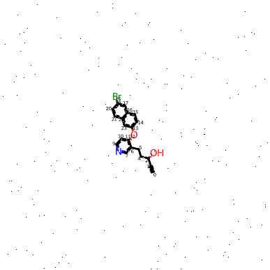 C#CC(O)CCc1cnccc1Oc1ccc2cc(Br)ccc2c1